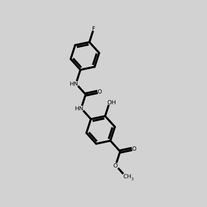 COC(=O)c1ccc(NC(=O)Nc2ccc(F)cc2)c(O)c1